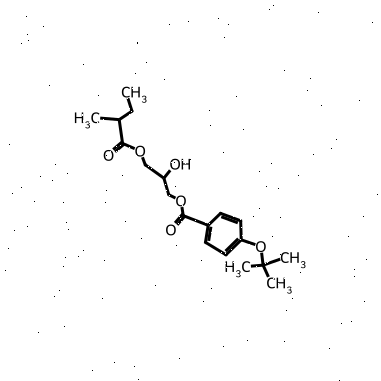 CCC(C)C(=O)OCC(O)COC(=O)c1ccc(OC(C)(C)C)cc1